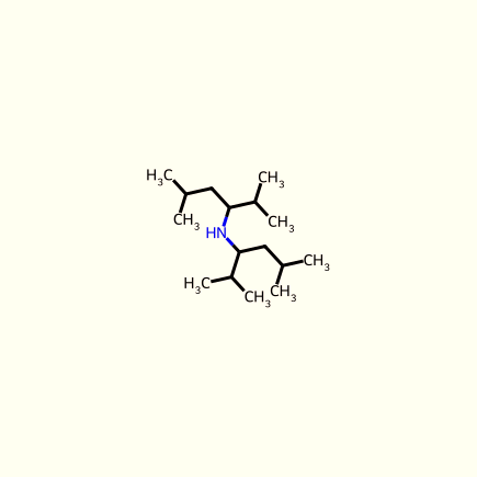 CC(C)CC(NC(CC(C)C)C(C)C)C(C)C